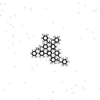 c1ccc(CN(Cc2ccccc2)c2cccc(-c3cc(-c4cccc(N(Cc5ccccc5)Cc5ccccc5)c4)cc(-c4cccc(N(Cc5ccccc5)Cc5ccccc5)c4)c3)c2)cc1